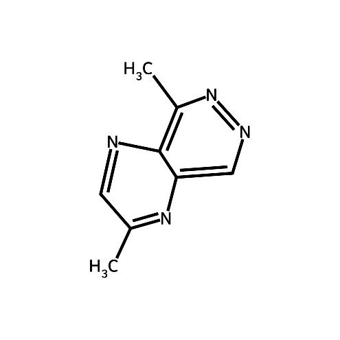 Cc1cnc2c(C)nncc2n1